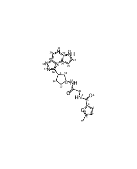 Cc1ccc(C(=O)NCC(=O)N[C@H]2CC[C@@H](c3nnc4cnc5[nH]ccc5n34)C2)o1